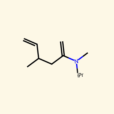 C=CC(C)CC(=C)N(C)C(C)C